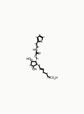 O=C(O)CCCC=CC[C@@H]1[C@@H](COC(=O)NCCc2cccs2)[C@H](O)C[C@@H]1O